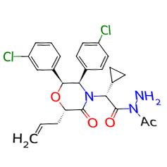 C=CC[C@@H]1O[C@@H](c2cccc(Cl)c2)[C@@H](c2ccc(Cl)cc2)N([C@@H](C(=O)N(N)C(C)=O)C2CC2)C1=O